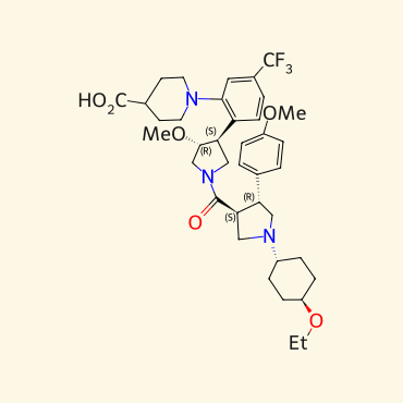 CCO[C@H]1CC[C@H](N2C[C@@H](C(=O)N3C[C@H](OC)[C@@H](c4ccc(C(F)(F)F)cc4N4CCC(C(=O)O)CC4)C3)[C@H](c3ccc(OC)cc3)C2)CC1